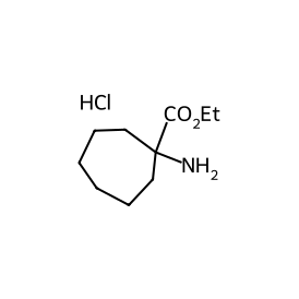 CCOC(=O)C1(N)CCCCCC1.Cl